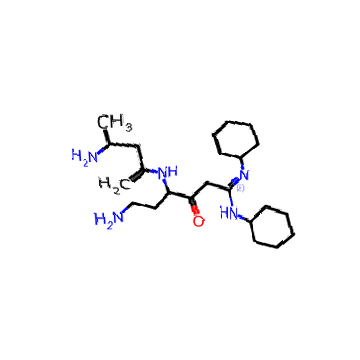 C=C(CC(C)N)NC(CCN)C(=O)C/C(=N\C1CCCCC1)NC1CCCCC1